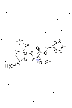 COc1ccc(OC)c(CC/C(=N/O)C(=O)OCc2ccccc2)c1